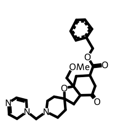 COCC12CC(C(=O)OCc3ccccc3)CC(=O)C1CC1(CCN(CN3C=CN=CC3)CC1)O2